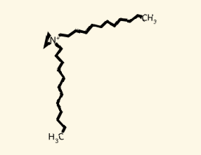 CCCCCCCCCCCC[N+]1(CCCCCCCCCCCC)CC1